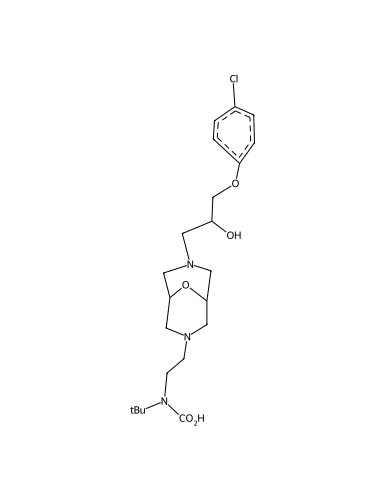 CC(C)(C)N(CCN1CC2CN(CC(O)COc3ccc(Cl)cc3)CC(C1)O2)C(=O)O